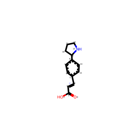 O=C(O)/C=C/c1ccc(C2CCCN2)cc1